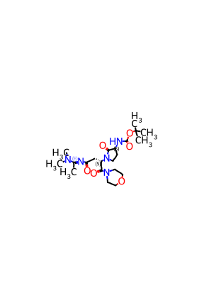 C/C(=N\C(=O)C[C@@H](C(=O)N1CCOCC1)N1CC[C@H](NC(=O)OC(C)(C)C)C1=O)N(C)C